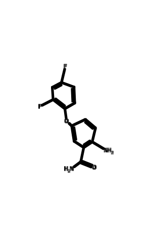 NC(=O)c1cc(Oc2ccc(F)cc2F)ccc1N